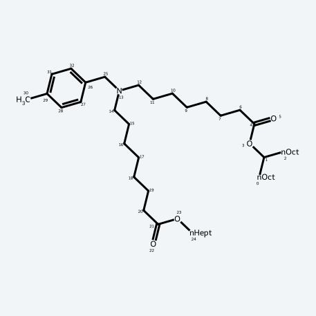 CCCCCCCCC(CCCCCCCC)OC(=O)CCCCCCCN(CCCCCCCC(=O)OCCCCCCC)Cc1ccc(C)cc1